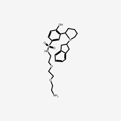 NCCOCCOCCNS(=O)(=O)c1ccc(O)c(C2CCCCN2C2Cc3ccccc3C2)c1